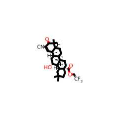 [C-]#[N+]C1=C[C@]2(C)[C@H]3C[C@@H](O)[C@@H]4[C@@H]5CC(C)(C)CC[C@]5(C(=O)OCC(F)(F)F)CC[C@@]4(C)[C@]3(C)CC[C@H]2C(C)(C)C1=O